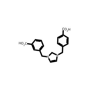 O=C(O)c1ccc(CN2C=CN(Cc3cccc(C(=O)O)c3)C2)cc1